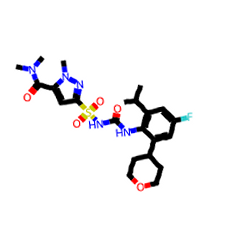 CC(C)c1cc(F)cc(C2CCOCC2)c1NC(=O)NS(=O)(=O)c1cc(C(=O)N(C)C)n(C)n1